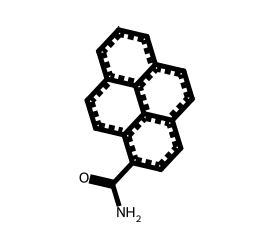 NC(=O)c1ccc2ccc3c[c]cc4ccc1c2c34